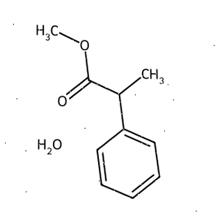 COC(=O)C(C)c1ccccc1.O